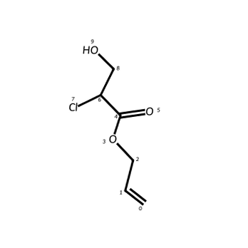 C=CCOC(=O)C(Cl)CO